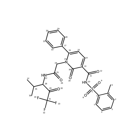 Cc1ccccc1S(=O)(=O)NC(=O)c1ccc(-c2ccccc2)n(CC(=O)NC(C(=O)C(F)(F)F)C(C)C)c1=O